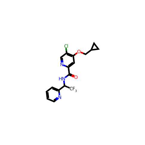 O=C(NC(c1ccccn1)C(F)(F)F)c1cc(OCC2CC2)c(Cl)cn1